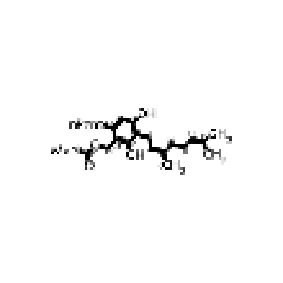 CCCCCc1cc(O)c(CC=C(C)CCC=C(C)C)c(O)c1COC(=O)NC